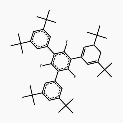 CC(C)(C)C1=CC(c2c(F)c(-c3cc(C(C)(C)C)cc(C(C)(C)C)c3)c(F)c(-c3cc(C(C)(C)C)cc(C(C)(C)C)c3)c2F)=CC(C(C)(C)C)C1